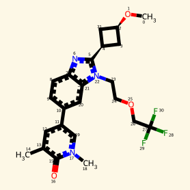 CO[C@H]1C[C@@H](c2nc3ccc(-c4cc(C)c(=O)n(C)c4)cc3n2CCOCC(F)(F)F)C1